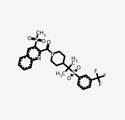 CC(C)(C1CCN(C(=O)c2nc3ccccc3cc2S(C)(=O)=O)CC1)S(=O)(=O)c1cccc(C(F)(F)F)c1